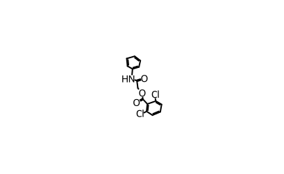 O=C(COC(=O)c1c(Cl)cccc1Cl)Nc1ccccc1